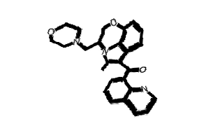 Cc1c(C(=O)c2cccc3cccnc23)c2cccc3c2n1C(CN1CCOCC1)CO3